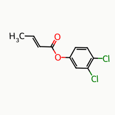 C/C=C/C(=O)Oc1ccc(Cl)c(Cl)c1